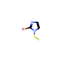 FSn1ccnc1Br